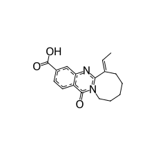 CC=C1CCCCCn2c1nc1cc(C(=O)O)ccc1c2=O